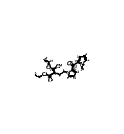 CCOC(=O)C(CCn1cccc1C(=O)c1cccn1C)C(=O)OCC